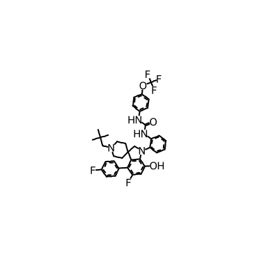 CC(C)(C)CN1CCC2(CC1)CN(c1ccccc1NC(=O)Nc1ccc(OC(F)(F)F)cc1)c1c(O)cc(F)c(-c3ccc(F)cc3)c12